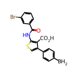 Bc1ccc(-c2csc(NC(=O)c3cccc(Br)c3)c2C(=O)O)cc1